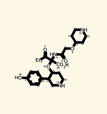 CCC(=O)C(NC(=O)COC1CCNCC1)(OC1CCNCC1c1ccc(O)cc1)C(=O)O